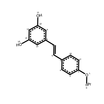 CCCOc1ccc(/C=C/c2cc(O)cc(O)c2)cc1